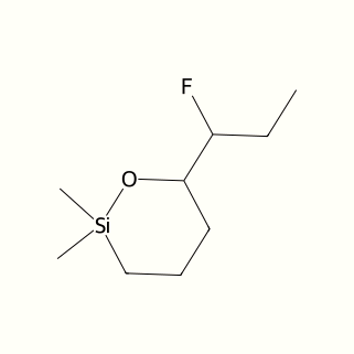 CCC(F)C1CCC[Si](C)(C)O1